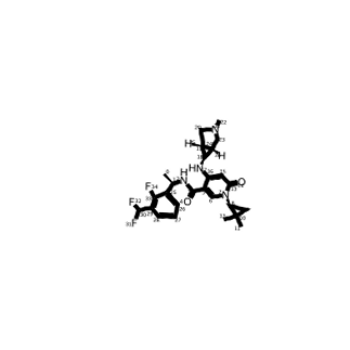 C[C@@H](NC(=O)c1cn([C@H]2CC2(C)C)c(=O)cc1N[C@H]1[C@@H]2CN(C)C[C@@H]21)c1cccc(C(F)F)c1F